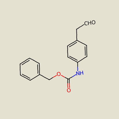 O=CCc1ccc(NC(=O)OCc2ccccc2)cc1